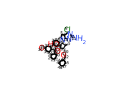 C=C1[C@@H](n2ccc3c(Cl)nc(N)nc32)C(O)[C@H](OC(c2ccccc2)(c2ccccc2)c2ccc(OC)cc2)[C@H]1COCc1ccccc1